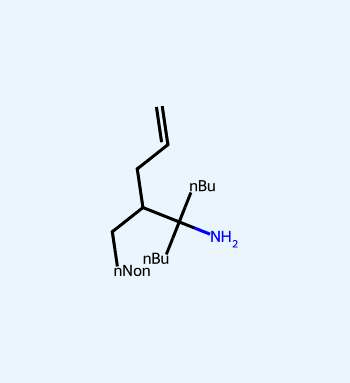 C=CCC(CCCCCCCCCC)C(N)(CCCC)CCCC